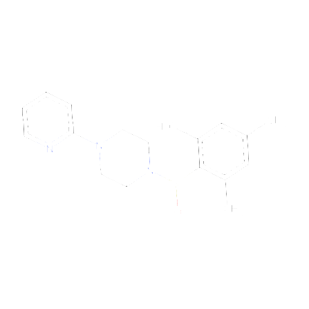 Cc1cc(C)c([S+]([O-])N2CCN(c3ccccn3)CC2)c(C)c1